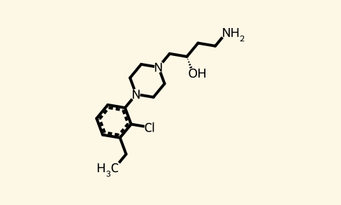 CCc1cccc(N2CCN(C[C@@H](O)CCN)CC2)c1Cl